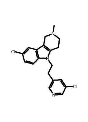 CN1CCc2c(c3cc(Cl)ccc3n2CCc2cncc(Cl)c2)C1